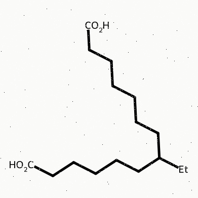 CCC(CCCCCCC(=O)O)CCCCCC(=O)O